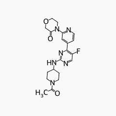 CC(=O)N1CCC(Nc2ncc(F)c(-c3ccnc(N4CCOCC4=O)c3)n2)CC1